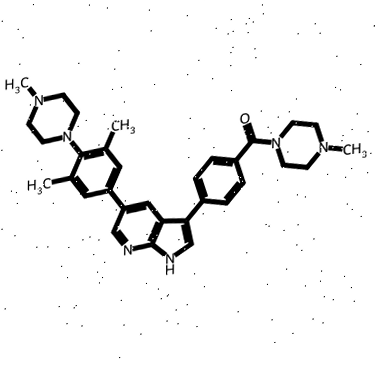 Cc1cc(-c2cnc3[nH]cc(-c4ccc(C(=O)N5CCN(C)CC5)cc4)c3c2)cc(C)c1N1CCN(C)CC1